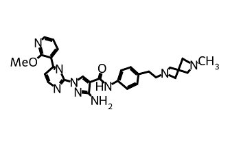 COc1ncccc1-c1ccnc(-n2cc(C(=O)Nc3ccc(CCN4CC5(CN(C)C5)C4)cc3)c(N)n2)n1